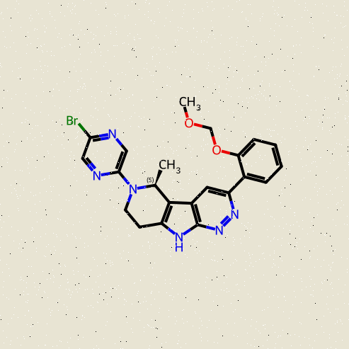 COCOc1ccccc1-c1cc2c3c([nH]c2nn1)CCN(c1cnc(Br)cn1)[C@H]3C